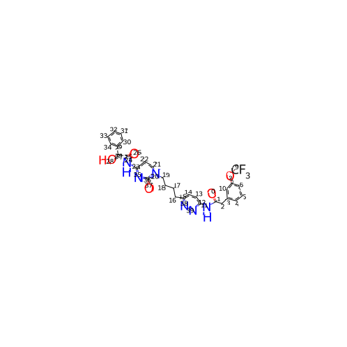 O=C(Cc1cccc(OC(F)(F)F)c1)Nc1ccc(CCCCn2ccc(NC(=O)[C@H](O)c3ccccc3)nc2=O)nn1